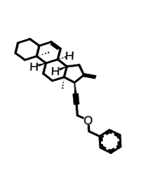 C=C1C[C@H]2[C@@H]3C=CC4CCCC[C@]4(C)[C@H]3CC[C@]2(C)[C@@H]1C#CCOCc1ccccc1